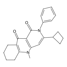 Cn1c2c(c(=O)c3c(=O)n(-c4ccccc4)c(C4CCC4)cc31)CCCC2